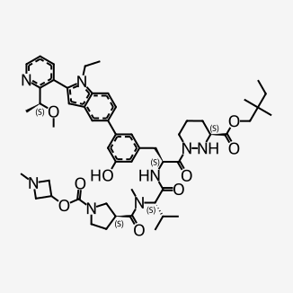 CCn1c(-c2cccnc2[C@H](C)OC)cc2cc(-c3cc(O)cc(C[C@H](NC(=O)[C@H](C(C)C)N(C)C(=O)[C@H]4CCN(C(=O)OC5CN(C)C5)C4)C(=O)N4CCC[C@@H](C(=O)OCC(C)(C)CC)N4)c3)ccc21